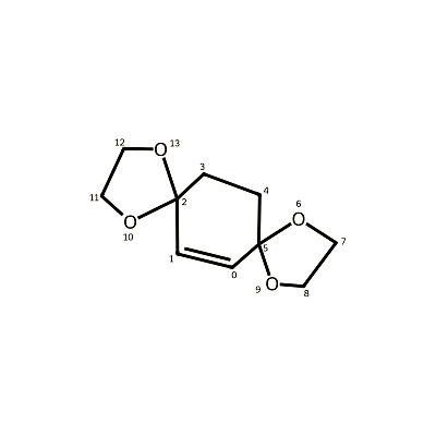 C1=CC2(CCC13OCCO3)OCCO2